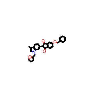 Cc1cn(CC2CCCO2)c2cc(C3C(=O)c4ccc(OCc5ccccc5)cc4C3=O)ccc12